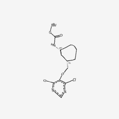 CC(C)(C)OC(=O)N[C@@H]1CCC[C@H](COc2c(Cl)ncnc2Cl)C1